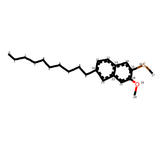 CCCCCCCCCCc1ccc2cc(SC)c(OC)cc2c1